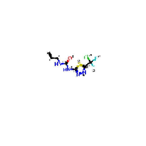 C=CCNC(=O)Nc1nnc(C(F)(F)Cl)s1